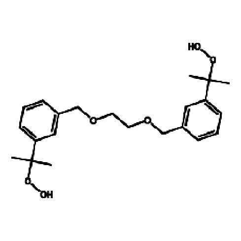 CC(C)(OO)c1cccc(COCCOCc2cccc(C(C)(C)OO)c2)c1